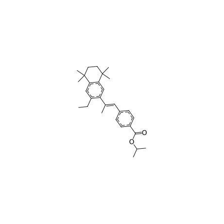 CCc1cc2c(cc1/C(C)=C/c1ccc(C(=O)OC(C)C)cc1)C(C)(C)CCC2(C)C